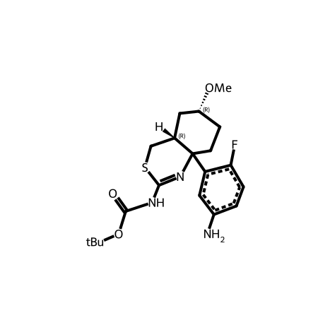 CO[C@@H]1CCC2(c3cc(N)ccc3F)N=C(NC(=O)OC(C)(C)C)SC[C@@H]2C1